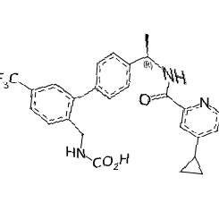 C[C@@H](NC(=O)c1cc(C2CC2)ccn1)c1ccc(-c2cc(C(F)(F)F)ccc2CNC(=O)O)cc1